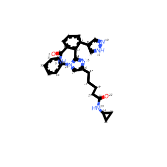 NC(=O)c1cccc(-c2cn[nH]c2)c1-c1nc(CCCCC(=O)NC2CC2)cn1-c1ccccc1